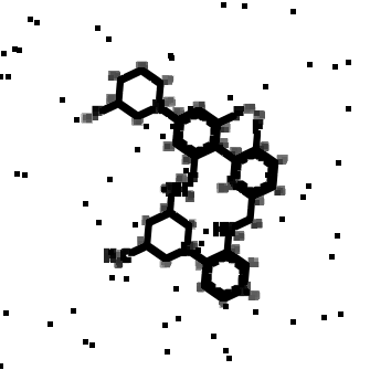 CC1CC(N)CN(c2ccncc2NCc2ccc(F)c(-c3c(F)cc(N4CCCC(F)C4)cc3F)n2)C1